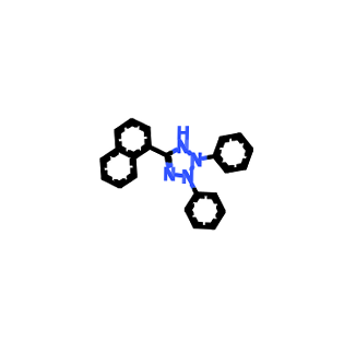 c1ccc(N2N=C(c3cccc4ccccc34)NN2c2ccccc2)cc1